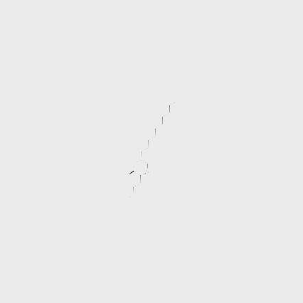 CCCCCCCCCCC1CNC(CCSC)C(=O)O1